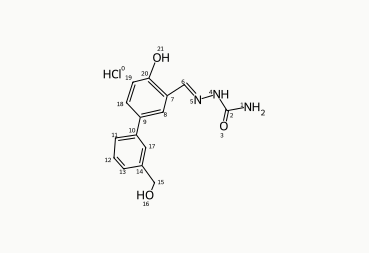 Cl.NC(=O)NN=Cc1cc(-c2cccc(CO)c2)ccc1O